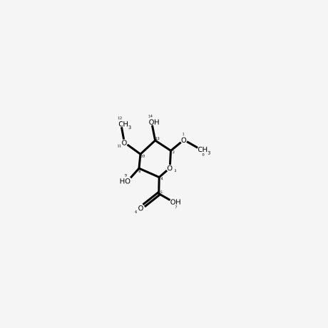 COC1OC(C(=O)O)C(O)C(OC)C1O